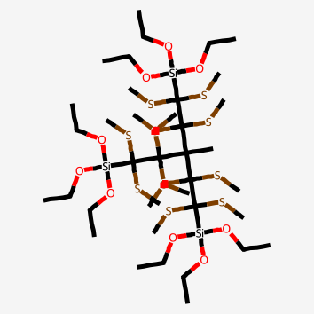 CCO[Si](OCC)(OCC)C(SC)(SC)C(SC)(SC)C(C)(C(SC)(SC)C(SC)(SC)[Si](OCC)(OCC)OCC)C(SC)(SC)C(SC)(SC)[Si](OCC)(OCC)OCC